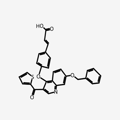 O=C(O)/C=C/c1ccc(Oc2c(C(=O)c3cccs3)cnc3cc(OCc4ccccc4)ccc23)cc1